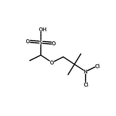 CC(OCC(C)(C)N(Cl)Cl)S(=O)(=O)O